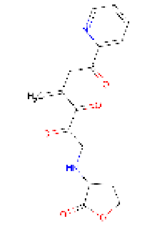 C=C(CC(=O)c1ccccn1)C(=O)C(=O)CNC1CCOC1=O